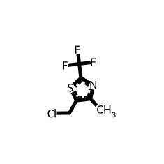 Cc1nc(C(F)(F)F)sc1CCl